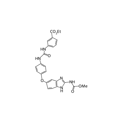 CCOC(=O)c1cccc(NC(=O)Nc2ccc(Oc3ccc4[nH]c(NC(=O)OC)nc4c3)cc2)c1